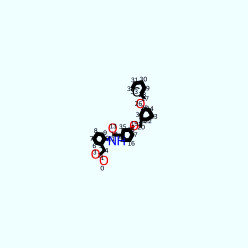 COC(=O)Cc1ccccc1NC(=O)c1cccc(OCc2cccc(OCc3ccccc3)c2)c1